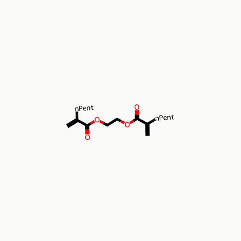 C=C(CCCCC)C(=O)OCCOC(=O)C(=C)CCCCC